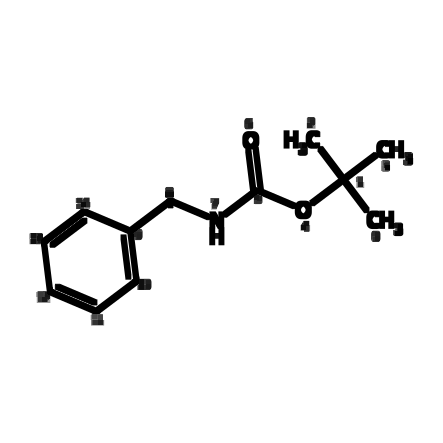 CC(C)(C)OC(=O)N[CH]c1ccccc1